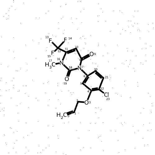 C=CCOc1cc(-n2c(=O)cc(C(F)(F)F)n(C)c2=O)ccc1Cl